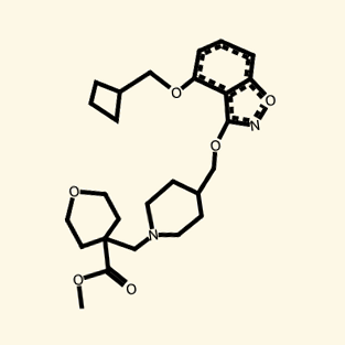 COC(=O)C1(CN2CCC(COc3noc4cccc(OCC5CCC5)c34)CC2)CCOCC1